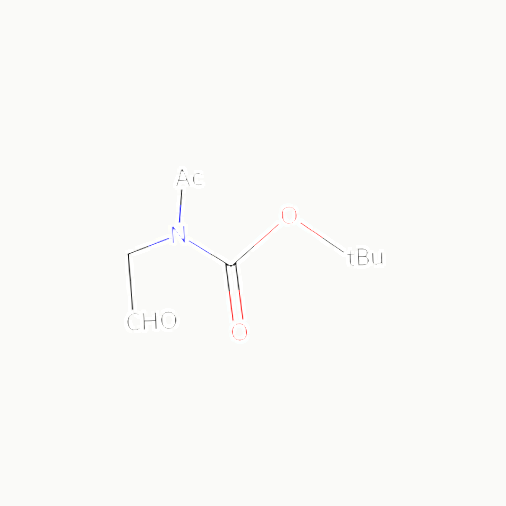 CC(=O)N(CC=O)C(=O)OC(C)(C)C